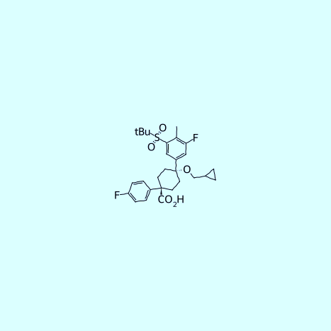 Cc1c(F)cc([C@]2(OCC3CC3)CC[C@@](C(=O)O)(c3ccc(F)cc3)CC2)cc1S(=O)(=O)C(C)(C)C